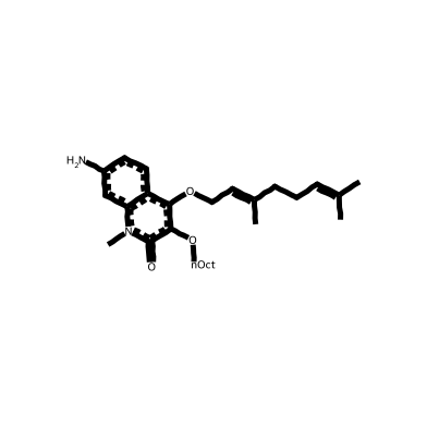 CCCCCCCCOc1c(OC/C=C(\C)CCC=C(C)C)c2ccc(N)cc2n(C)c1=O